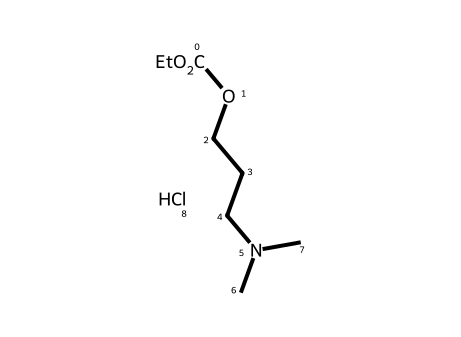 CCOC(=O)OCCCN(C)C.Cl